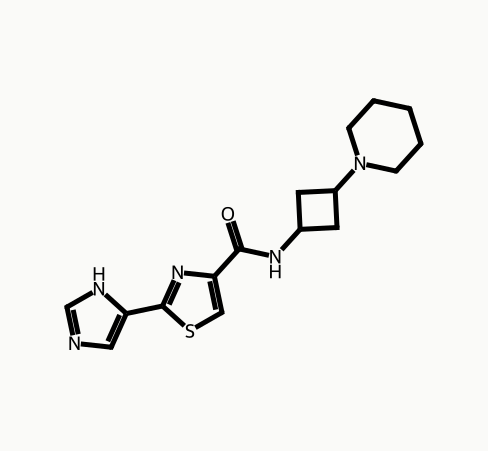 O=C(NC1CC(N2CCCCC2)C1)c1csc(-c2cnc[nH]2)n1